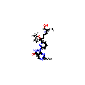 CC[Si](CC)(CC)OC(C)(CC/C=C(/C)CO)c1cccc(-n2[nH]c(=O)c3cnc(SC)nc32)n1